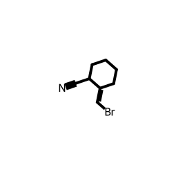 N#CC1CCCCC1=CBr